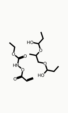 C=CC(=O)ONC(=O)OCC.CCC(O)OCC(C)OC(O)CC